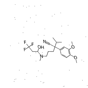 COc1ccc(C(C#N)(CCCN(C)C(O)CC(F)(F)F)C(C)C)cc1OC